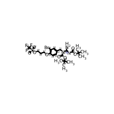 CC(C)(C)OC(=O)/N=C(\N)N(Cc1ccc(OCCCOS(=O)(=O)C(F)(F)F)c(Br)c1)C(=O)OC(C)(C)C